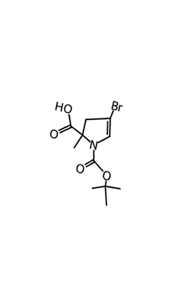 CC(C)(C)OC(=O)N1C=C(Br)CC1(C)C(=O)O